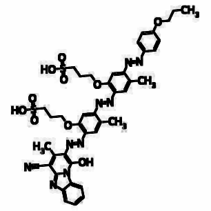 CCCOc1ccc(N=Nc2cc(OCCCS(=O)(=O)O)c(N=Nc3cc(OCCCS(=O)(=O)O)c(N=Nc4c(C)c(C#N)c5nc6ccccc6n5c4O)cc3C)cc2C)cc1